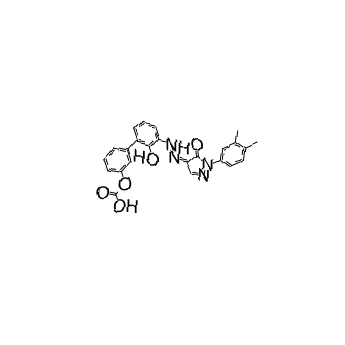 Cc1ccc(N2N=CC(=NNc3cccc(-c4cccc(OC(=O)O)c4)c3O)C2=O)cc1C